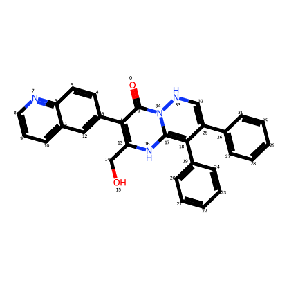 O=C1C(c2ccc3ncccc3c2)=C(CO)NC2=C(c3ccccc3)C(c3ccccc3)=CNN12